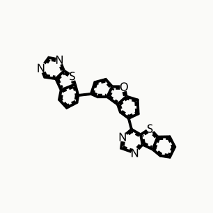 c1ccc2c(c1)sc1c(-c3ccc4oc5ccc(-c6cccc7c6sc6ncncc67)cc5c4c3)ncnc12